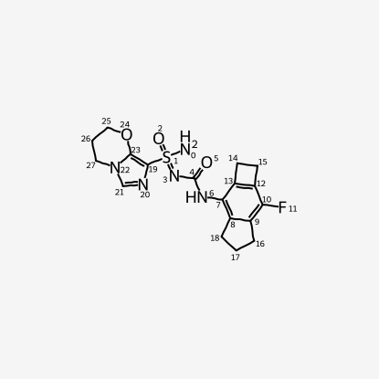 NS(=O)(=NC(=O)Nc1c2c(c(F)c3c1CC3)CCC2)c1ncn2c1OCCC2